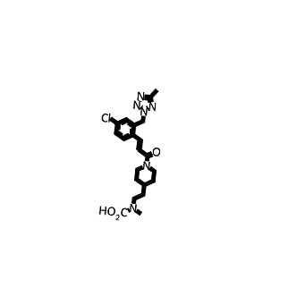 Cc1nnn(Cc2cc(Cl)ccc2/C=C/C(=O)N2CCC(CCN(C)C(=O)O)CC2)n1